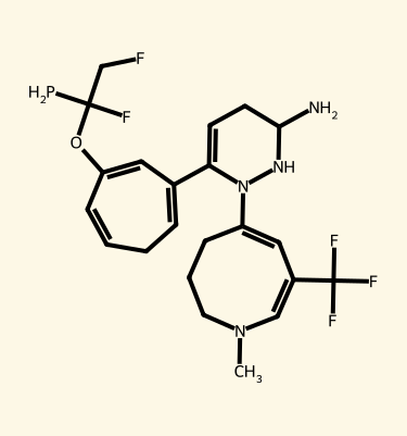 CN1/C=C(C(F)(F)F)\C=C(\N2NC(N)CC=C2C2=CCC=CC(OC(F)(P)CF)=C2)CCC1